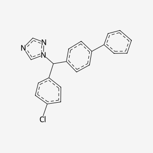 Clc1ccc(C(c2ccc(-c3ccccc3)cc2)n2cncn2)cc1